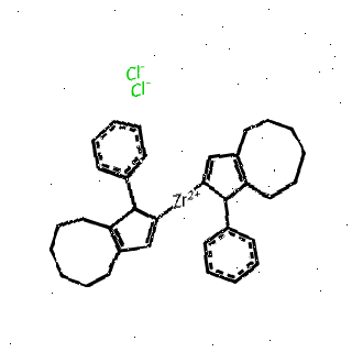 C1=[C]([Zr+2][C]2=CC3=C(CCCCCC3)C2c2ccccc2)C(c2ccccc2)C2=C1CCCCCC2.[Cl-].[Cl-]